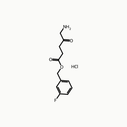 Cl.NCC(=O)CCC(=O)OCc1cccc(F)c1